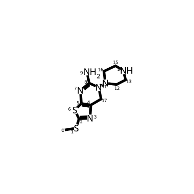 CSc1nc2c(s1)N=C(N)N(N1CCNCC1)C2